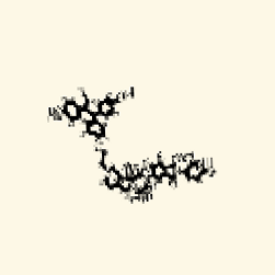 [2H]C1([2H])N(CC2CCN(CCOc3ccc(C(=C(CC)c4ccc(O)cc4)c4ccc(O)cc4)cc3)CC2)C([2H])([2H])C([2H])([2H])N(c2cc3c(c(F)c2F)C(=O)N(C2CCC(=O)NC2=O)C3=O)C1([2H])[2H]